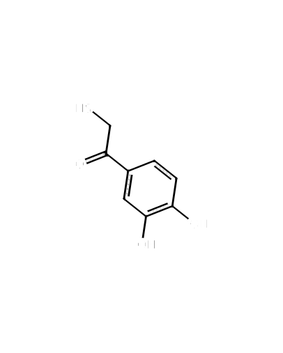 O=C(CS)c1ccc(O)c(O)c1